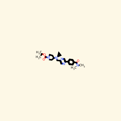 CC(C)OC(=O)N1CCC(N(Cc2cnc(-c3ccc(C(=O)N(C)C)cc3)cn2)C2CC2)CC1